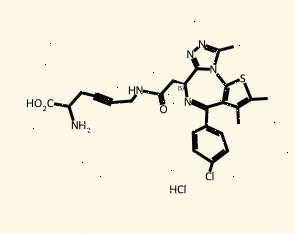 Cc1sc2c(c1C)C(c1ccc(Cl)cc1)=N[C@@H](CC(=O)NCC#CCC(N)C(=O)O)c1nnc(C)n1-2.Cl